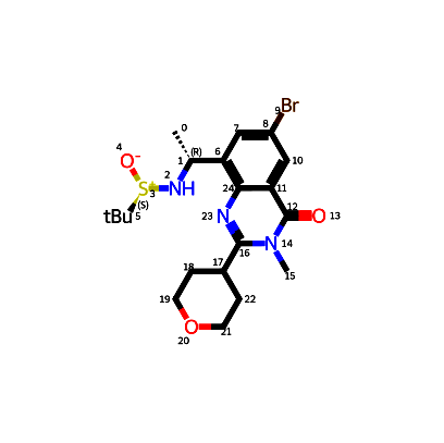 C[C@@H](N[S@+]([O-])C(C)(C)C)c1cc(Br)cc2c(=O)n(C)c(C3CCOCC3)nc12